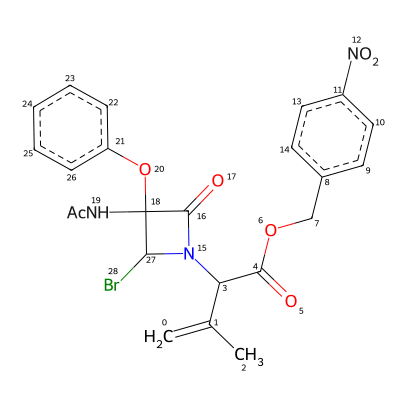 C=C(C)C(C(=O)OCc1ccc([N+](=O)[O-])cc1)N1C(=O)C(NC(C)=O)(Oc2ccccc2)C1Br